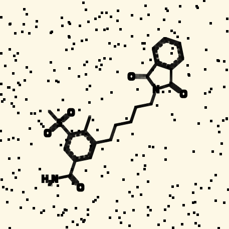 Cc1c(CCCCCN2C(=O)c3ccccc3C2=O)cc(C(N)=O)cc1S(C)(=O)=O